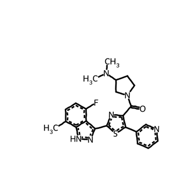 Cc1ccc(F)c2c(-c3nc(C(=O)N4CCC(N(C)C)C4)c(-c4cccnc4)s3)n[nH]c12